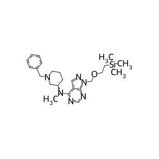 CN(c1ncnc2c1cnn2COCC[Si](C)(C)C)[C@@H]1CCCN(Cc2ccccc2)C1